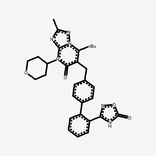 CCCCc1c(Cc2ccc(-c3ccccc3-c3noc(=O)[nH]3)cc2)c(=O)n(C2CCOCC2)c2nc(C)nn12